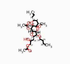 C=CC[C@@H]1CCC2(OC)O[C@@H]3[C@@H](O[C@H](CC(O)COC(C)=O)[C@@H]3OCCCC)[C@H](OC(C)=O)[C@H]2O1